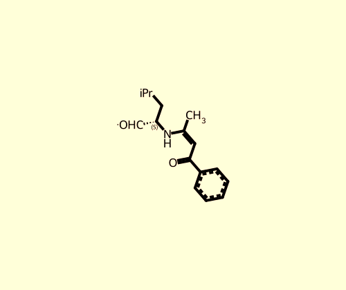 CC(=CC(=O)c1ccccc1)N[C@H]([C]=O)CC(C)C